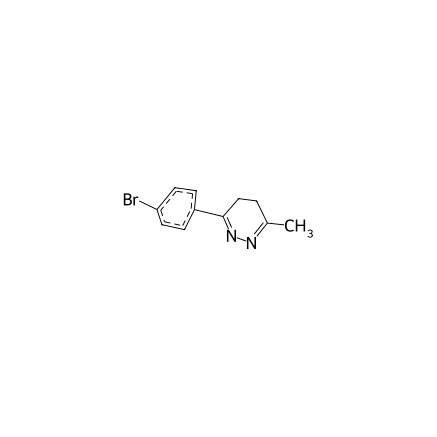 CC1=NN=C(c2ccc(Br)cc2)CC1